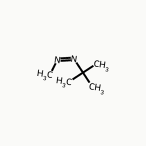 C/N=N\C(C)(C)C